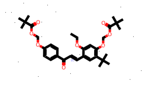 CCOc1cc(OCOC(=O)C(C)(C)C)c(C(C)(C)C)cc1/C=C/C(=O)c1ccc(OCOC(=O)C(C)(C)C)cc1